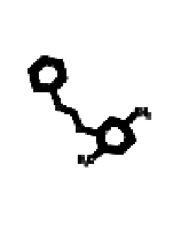 Cc1ccc(C)c(OCOc2ccccc2)c1